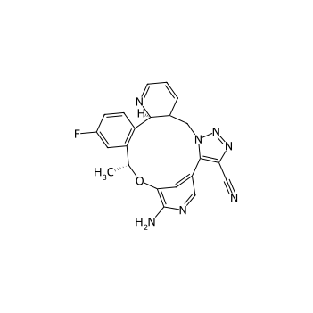 C[C@H]1Oc2cc(cnc2N)-c2c(C#N)nnn2CC2C=CC=N[C@@H]2c2ccc(F)cc21